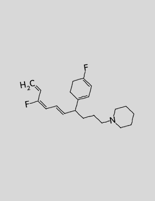 C=C/C(F)=C\C=C\C(CCCN1CCCCC1)C1=CC=C(F)CC1